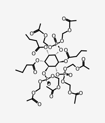 CCCC(=O)O[C@@H]1[C@H](OC(=O)CCC)[C@H](OP(=O)(OCOC(C)=O)OCOC(C)=O)[C@@H](OC(=O)CCC)[C@H](OP(=O)(OCOC(C)=O)OCOC(C)=O)[C@H]1OP(=O)(OCOC(C)=O)OCOC(C)=O